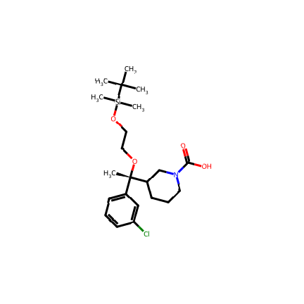 CC(C)(C)[Si](C)(C)OCCO[C@@](C)(c1cccc(Cl)c1)C1CCCN(C(=O)O)C1